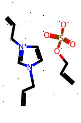 C=CCOS(=O)(=O)[O-].C=CCn1cc[n+](CC=C)c1